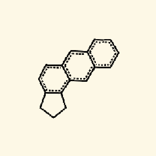 c1ccc2cc3c4c(ccc3cc2c1)CCC4